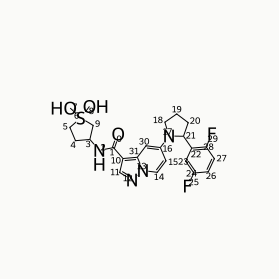 O=C(NC1CCS(O)(O)C1)c1cnn2ccc(N3CCCC3c3cc(F)ccc3F)cc12